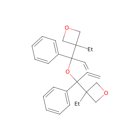 C=CC(OC(C=C)(c1ccccc1)C1(CC)COC1)(c1ccccc1)C1(CC)COC1